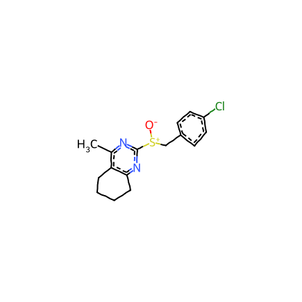 Cc1nc([S+]([O-])Cc2ccc(Cl)cc2)nc2c1CCCC2